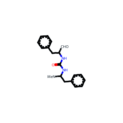 CNC(Cc1ccccc1)NC(=O)NC(C=O)Cc1ccccc1